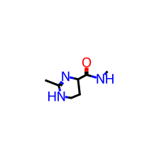 CNC(=O)C1CCNC(C)=N1